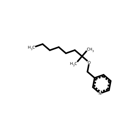 CCCCCCC(C)(C)OCc1cccnc1